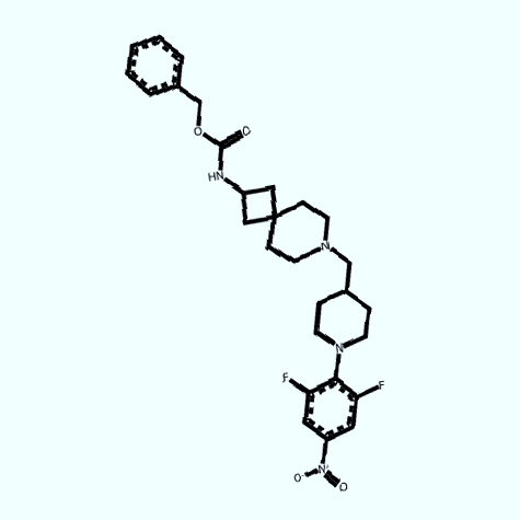 O=C(NC1CC2(CCN(CC3CCN(c4c(F)cc([N+](=O)[O-])cc4F)CC3)CC2)C1)OCc1ccccc1